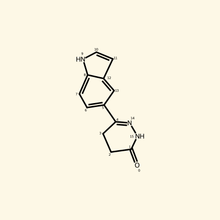 O=C1CCC(c2ccc3[nH]ccc3c2)=NN1